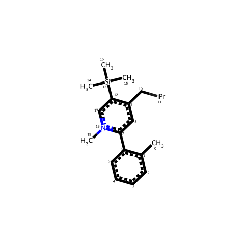 Cc1ccccc1-c1cc(CC(C)C)c([Si](C)(C)C)c[n+]1C